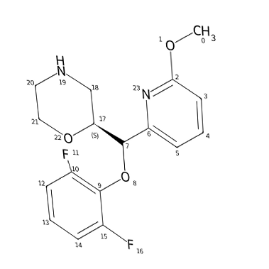 COc1cccc(C(Oc2c(F)cccc2F)[C@@H]2CNCCO2)n1